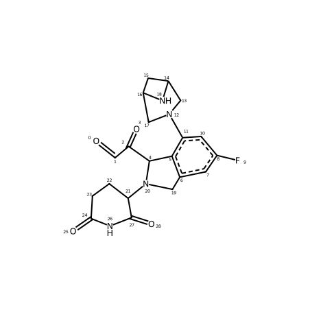 O=CC(=O)C1c2c(cc(F)cc2N2CC3CC(C2)N3)CN1C1CCC(=O)NC1=O